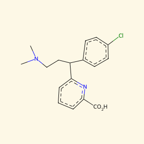 CN(C)CCC(c1ccc(Cl)cc1)c1cccc(C(=O)O)n1